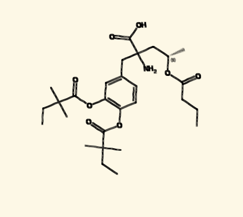 CCCC(=O)O[C@@H](C)CC(N)(Cc1ccc(OC(=O)C(C)(C)CC)c(OC(=O)C(C)(C)CC)c1)C(=O)O